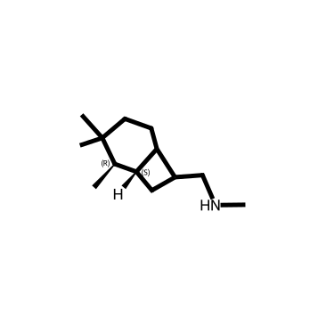 CNCC1C[C@H]2C1CCC(C)(C)[C@@H]2C